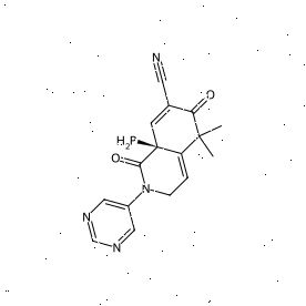 CC1(C)C(=O)C(C#N)=C[C@@]2(P)C(=O)N(c3cncnc3)CC=C12